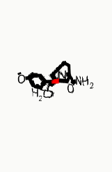 COc1ccc(CN2C3CCC2(C(N)=O)CC(Cl)C3)cc1.O